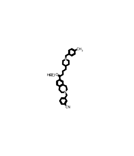 Cc1ccc(CN2CCC(CCCC(=O)c3ccc4c(c3)CCN(Cc3cccc(C#N)c3)CC4)CC2)cc1.Cl.Cl